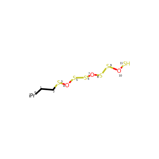 CC(C)CCSOSSOSSOS